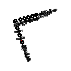 CCOP(=O)(OCC)c1ccccc1.CCOP([O-])c1ccccc1.CCP(=O)(O)O.CCP(=O)(O)O.CCP(=O)(O)O.O=P(O)(O)c1ccccc1.O=P(O)(O)c1ccccc1.O=P(O)(O)c1ccccc1.O=P(O)(O)c1ccccc1.OP(O)O.OP(O)c1ccccc1.[K+].[K+].[K+].[Li+].[Li+].[Na+].[Na+].[Na+].[Na+].[Na+].[O-]P([O-])O.[O-]P([O-])[O-].[O-]P([O-])c1ccccc1.[O-]P([O-])c1ccccc1